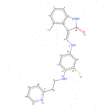 Cc1cccc2c1C(=CNc1ccc(NCCc3ccccn3)c(F)c1)C(=O)N2